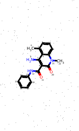 Cc1cccc2c1c(N)c(C(=O)Nc1ccccc1)c(=O)n2C